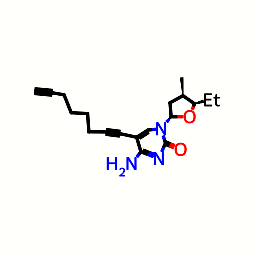 C#CCCCCC#Cc1cn([C@H]2C[C@@H](C)[C@@H](CC)O2)c(=O)nc1N